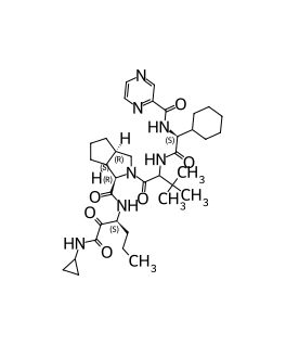 CCC[C@H](NC(=O)[C@H]1[C@H]2CCC[C@H]2CN1C(=O)C(NC(=O)[C@@H](NC(=O)c1cnccn1)C1CCCCC1)C(C)(C)C)C(=O)C(=O)NC1CC1